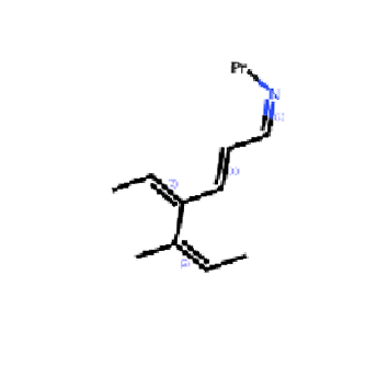 C\C=C(C)/C(=C\C)/C=C/C=N\C(C)C